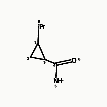 CC(C)C1CC1C([NH])=O